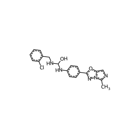 Cc1ncc2oc(-c3ccc(NC(O)NCc4ccccc4Cl)cc3)nn12